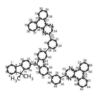 CC1(C)c2ccccc2-c2ccc(-n3c4ccc(-c5cccc(-c6cnc7c8ccccc8c8ccccc8c7n6)c5)cc4c4cc(-c5cccc(-c6cnc7c8ccccc8c8ccccc8c7n6)c5)ccc43)cc21